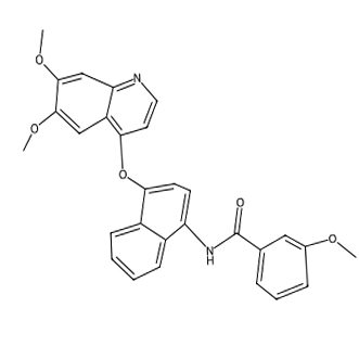 COc1cccc(C(=O)Nc2ccc(Oc3ccnc4cc(OC)c(OC)cc34)c3ccccc23)c1